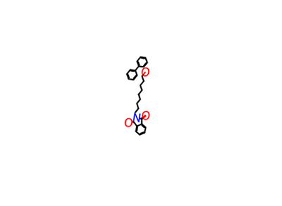 O=C1c2ccccc2C(=O)N1CCCCCCCCCOc1ccccc1-c1ccccc1